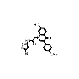 CCc1cc(NC(=O)Cn2cc(-c3ccc(OC)cc3)c(=O)c3ccc(C)cc32)on1